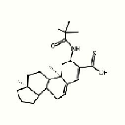 CC(C)(C)C(=O)NC1C[C@@]2(C)C(=CCC3C4CCC[C@@]4(C)CCC32)C=C1C(O)=S